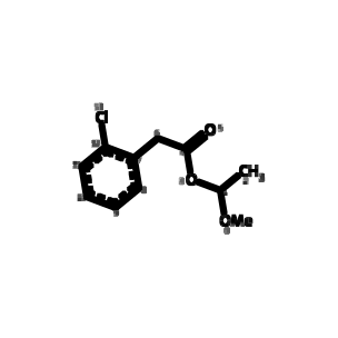 COC(C)OC(=O)Cc1ccccc1Cl